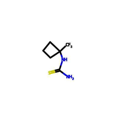 NC(=S)NC1(C(F)(F)F)CCC1